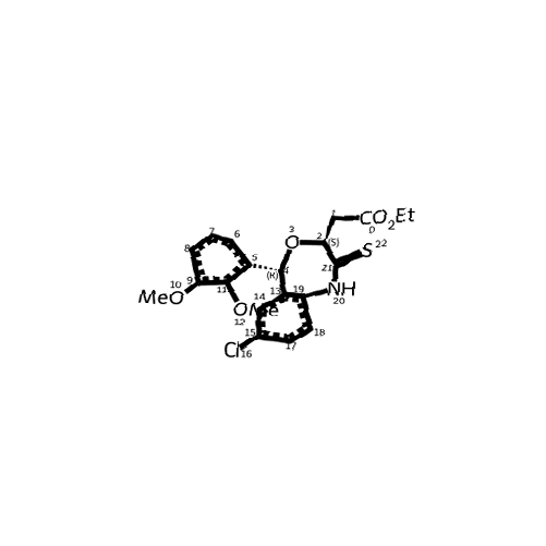 CCOC(=O)C[C@@H]1O[C@@H](c2cccc(OC)c2OC)c2cc(Cl)ccc2NC1=S